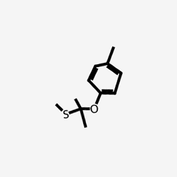 CSC(C)(C)Oc1ccc(C)cc1